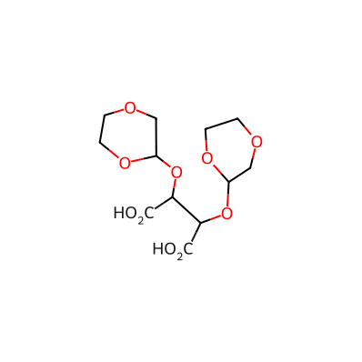 O=C(O)C(OC1COCCO1)C(OC1COCCO1)C(=O)O